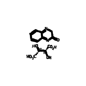 O=C(O)[C@H](O)[C@@H](O)C(=O)O.O=C1CN=c2ccccc2=N1